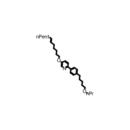 CCCCCC=CCCCCCOc1ccc(-c2ccc(CCCCCOCCC)cc2)nc1